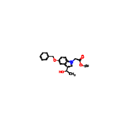 CC(O)c1cn(CC(=O)OC(C)(C)C)c2ccc(OCc3ccccc3)cc12